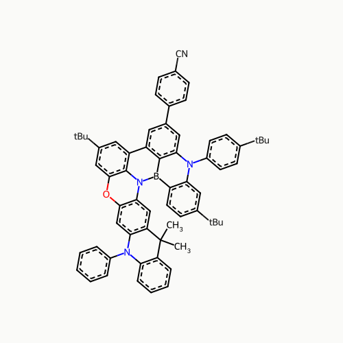 CC(C)(C)c1ccc(N2c3cc(C(C)(C)C)ccc3B3c4c(cc(-c5ccc(C#N)cc5)cc42)-c2cc(C(C)(C)C)cc4c2N3c2cc3c(cc2O4)N(c2ccccc2)c2ccccc2C3(C)C)cc1